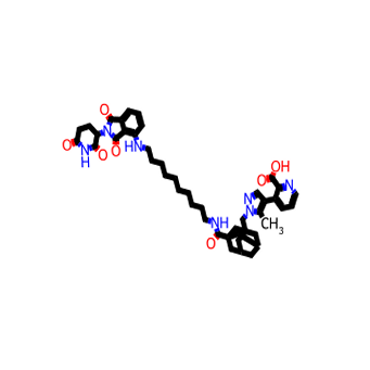 Cc1c(-c2cccnc2C(=O)O)cnn1CC12CC3CC(C1)CC(C(=O)NCCCCCCCCCCNc1cccc4c1C(=O)N(C1CCC(=O)NC1=O)C4=O)(C3)C2